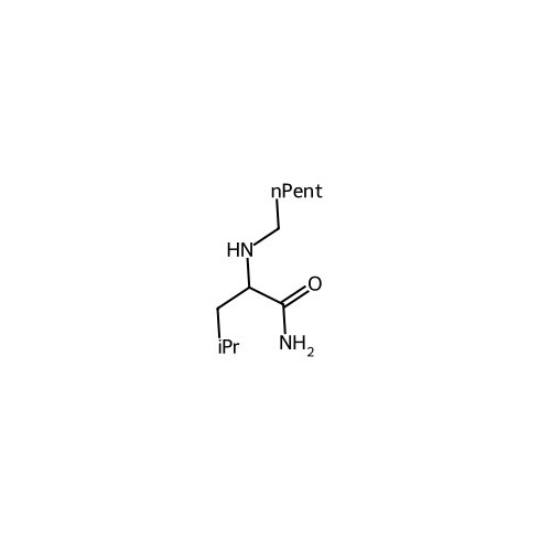 CCCCCCNC(CC(C)C)C(N)=O